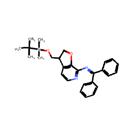 CC(C)(C)[Si](C)(C)OCC1COc2c1ccnc2N=C(c1ccccc1)c1ccccc1